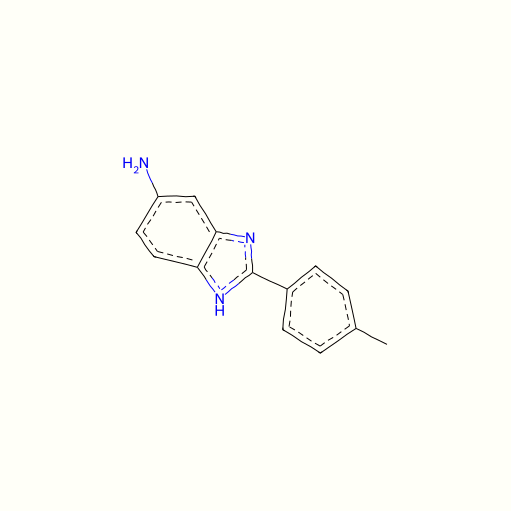 Cc1ccc(-c2nc3cc(N)ccc3[nH]2)cc1